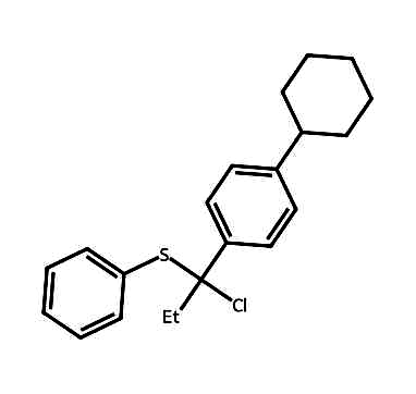 CCC(Cl)(Sc1ccccc1)c1ccc(C2CCCCC2)cc1